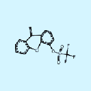 C=C1c2ccccc2Oc2c(OS(=O)(=O)C(F)(F)F)cccc21